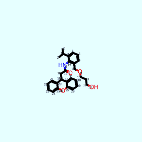 CC(C)c1cccc(COCCCO)c1NC(=O)CC1c2ccccc2Oc2ccccc21